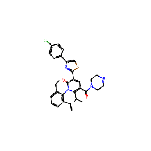 CCc1cccc(CC)c1-n1c(C(C)C)c(C(=O)N2CCNCC2)cc(-c2nc(-c3ccc(Cl)cc3)cs2)c1=O